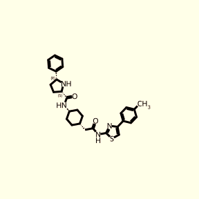 Cc1ccc(-c2csc(NC(=O)C[C@H]3CC[C@@H](NC(=O)[C@@H]4CC[C@H](c5ccccc5)N4)CC3)n2)cc1